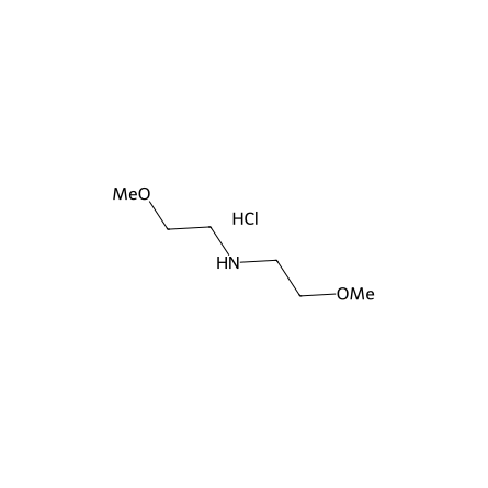 COCCNCCOC.Cl